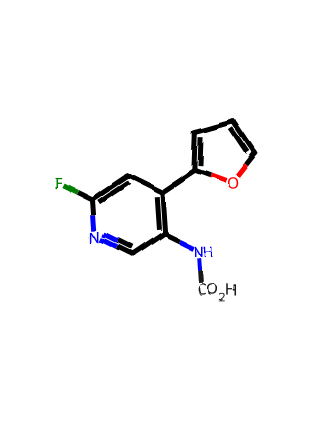 O=C(O)Nc1cnc(F)cc1-c1ccco1